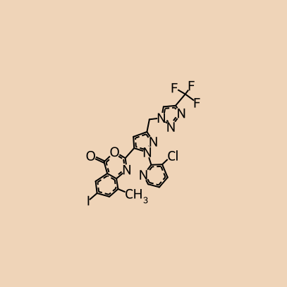 Cc1cc(I)cc2c(=O)oc(-c3cc(Cn4cc(C(F)(F)F)nn4)nn3-c3ncccc3Cl)nc12